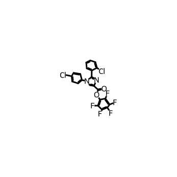 O=C(Oc1c(F)c(F)c(F)c(F)c1F)c1cn(-c2ccc(Cl)cc2)c(-c2ccccc2Cl)n1